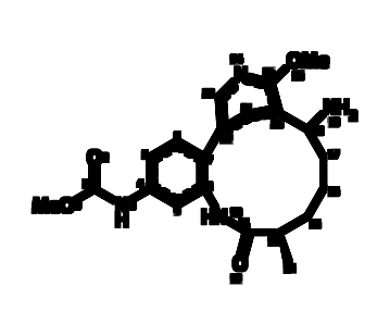 COC(=O)Nc1ccc2c(c1)NC(=O)[C@H](C)CCCC(N)c1cc-2cnc1OC